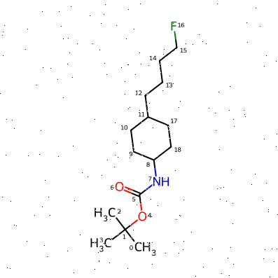 CC(C)(C)OC(=O)NC1CCC(CCCCF)CC1